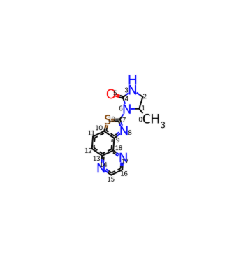 CC1CNC(=O)N1c1nc2c(ccc3nccnc32)s1